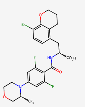 O=C(N[C@@H](Cc1ccc(Br)c2c1CCCO2)C(=O)O)c1c(F)cc(N2CCOC[C@@H]2C(F)(F)F)cc1F